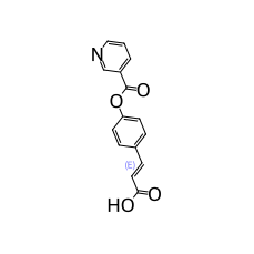 O=C(O)/C=C/c1ccc(OC(=O)c2cccnc2)cc1